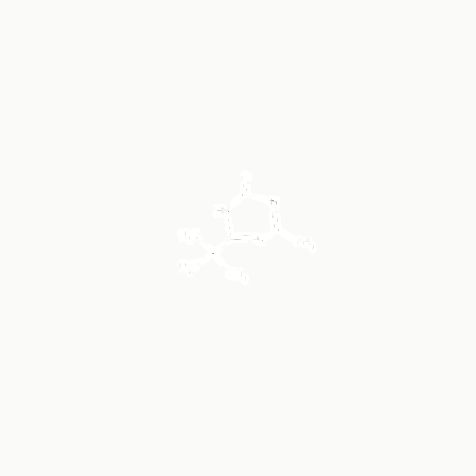 Cc1nc(C(C)(C)C)[nH]c(=O)n1